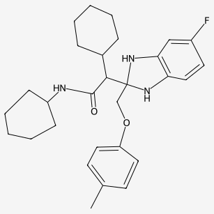 Cc1ccc(OCC2(C(C(=O)NC3CCCCC3)C3CCCCC3)Nc3ccc(F)cc3N2)cc1